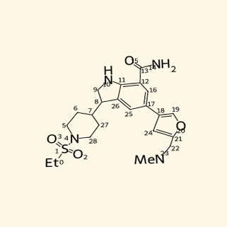 CCS(=O)(=O)N1CCC(C2CNc3c(C(N)=O)cc(-c4coc(CNC)c4)cc32)CC1